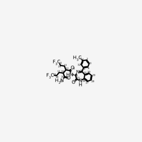 Cc1cccc(C2=N[C@H](NC(=O)C(CCC(F)(F)F)C(CCC(F)(F)F)C(N)=O)C(=O)Nc3ccccc32)c1